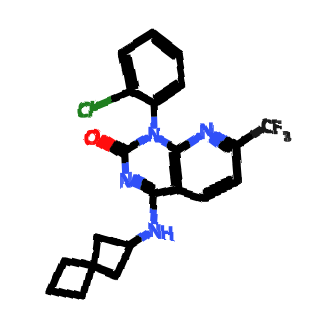 O=c1nc(NC2CC3(CCC3)C2)c2ccc(C(F)(F)F)nc2n1-c1ccccc1Cl